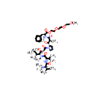 CC[C@H](C)[C@@H]([C@@H](CC(=O)N1CCC[C@H]1C(OC)[C@@H](C)C(=O)N[C@@H](Cc1ccccc1)C(=O)OCCOCCOCCOC)OC)N(C)C(=O)[C@@H](NC(=O)[C@H](C(C)C)N(C)C)C(C)C